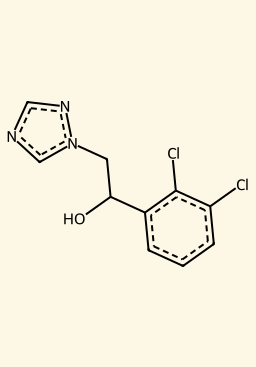 OC(Cn1cncn1)c1cccc(Cl)c1Cl